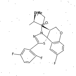 CO[C@H](C)C(=O)N1N=C(c2cc(F)ccc2F)S[C@]12c1cc(F)ccc1OC[C@@H]2CCN